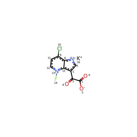 O=C([O-])C(=O)c1cnc2c(Cl)ccn(F)c1-2.[K+]